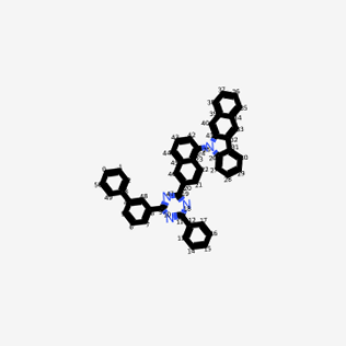 c1ccc(-c2cccc(-c3nc(-c4ccccc4)nc(-c4ccc5c(-n6c7ccccc7c7cc8ccccc8cc76)cccc5c4)n3)c2)cc1